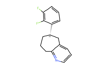 Fc1cccc([C@H]2CCCc3ncccc3C2)c1F